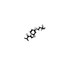 CC(C)C(=O)c1cnc2cc(OCCC(F)(F)F)ccn12